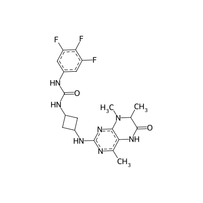 Cc1nc(NC2CC(NC(=O)Nc3cc(F)c(F)c(F)c3)C2)nc2c1NC(=O)C(C)N2C